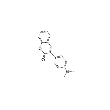 CN(C)c1ccc(-c2cc3ccccc3oc2=O)cc1